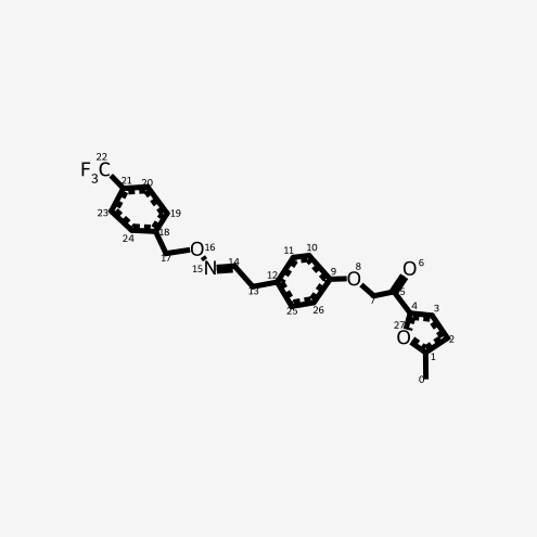 Cc1ccc(C(=O)COc2ccc(CC=NOCc3ccc(C(F)(F)F)cc3)cc2)o1